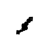 CN(C)CCC=Cc1ccc2c(c1)CCCN2C(=O)c1ccc(-c2ccc(Cl)cc2)cc1